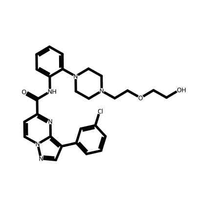 O=C(Nc1ccccc1N1CCN(CCOCCO)CC1)c1ccn2ncc(-c3cccc(Cl)c3)c2n1